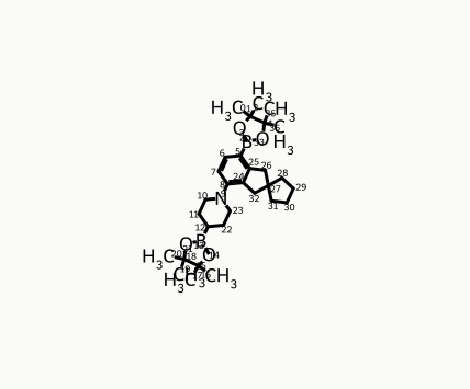 CC1(C)OB(c2ccc(N3CCC(B4OC(C)(C)C(C)(C)O4)CC3)c3c2CC2(CCCC2)C3)OC1(C)C